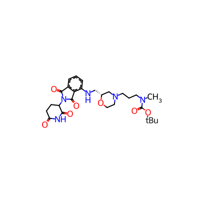 CN(CCCN1CCO[C@H](CNc2cccc3c2C(=O)N(C2CCC(=O)NC2=O)C3=O)C1)C(=O)OC(C)(C)C